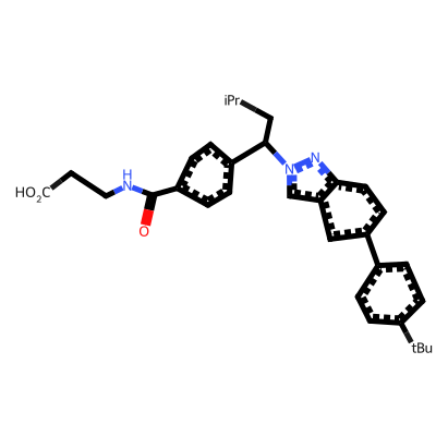 CC(C)CC(c1ccc(C(=O)NCCC(=O)O)cc1)n1cc2cc(-c3ccc(C(C)(C)C)cc3)ccc2n1